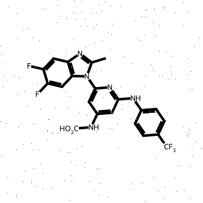 Cc1nc2cc(F)c(F)cc2n1-c1cc(NC(=O)O)cc(Nc2ccc(C(F)(F)F)cc2)n1